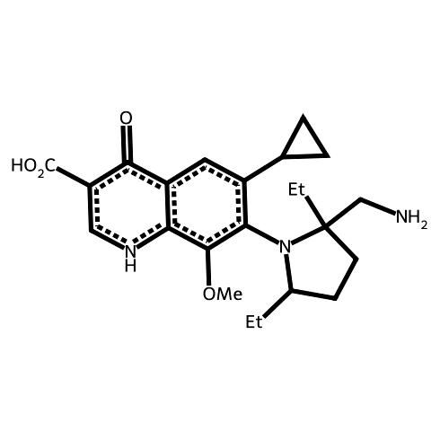 CCC1CCC(CC)(CN)N1c1c(C2CC2)cc2c(=O)c(C(=O)O)c[nH]c2c1OC